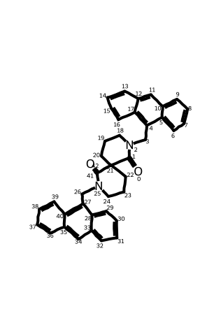 O=C1N(Cc2c3ccccc3cc3ccccc23)CCCC12CCCN(Cc1c3ccccc3cc3ccccc13)C2=O